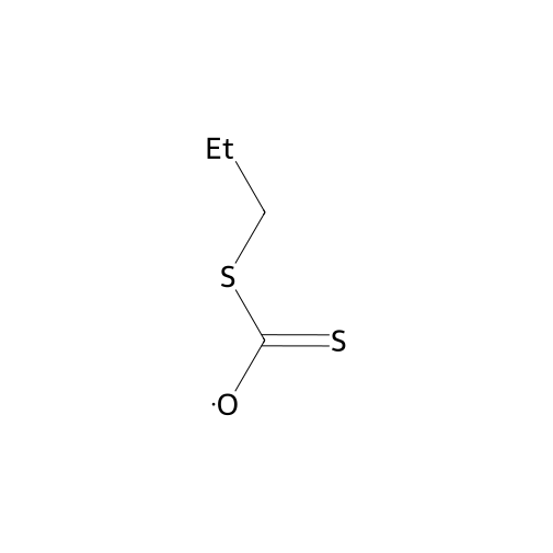 CCCSC([O])=S